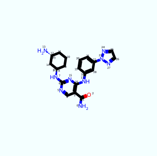 NC(=O)c1cnc(N[C@@H]2CCC[C@@H](N)C2)nc1Nc1cccc(-n2nccn2)c1